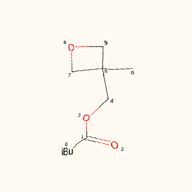 CCC(C)C(=O)OCC1(C)COC1